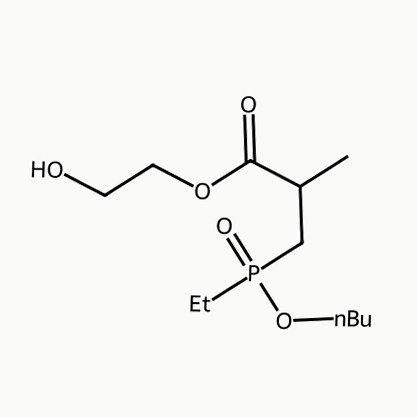 CCCCOP(=O)(CC)CC(C)C(=O)OCCO